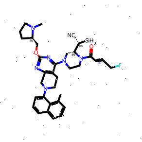 Cc1cccc2cccc(N3CCc4c(nc(OC[C@H]5CCCN5C)nc4N4CCN(C(=O)/C=C/CF)[C@@H]([C@@H]([SiH3])C#N)C4)C3)c12